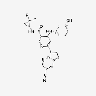 N#Cc1cnn2c(-c3cc(N[C@H]4CCC[C@@H](O)C4)c(C(=O)NC4CC4(F)F)cn3)ccc2c1